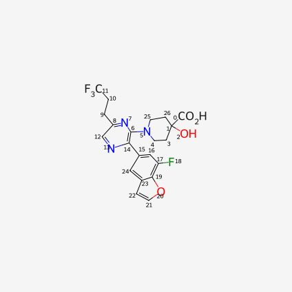 O=C(O)C1(O)CCN(c2nc(CCC(F)(F)F)cnc2-c2cc(F)c3occc3c2)CC1